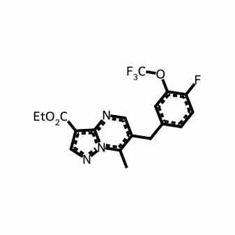 CCOC(=O)c1cnn2c(C)c(Cc3ccc(F)c(OC(F)(F)F)c3)cnc12